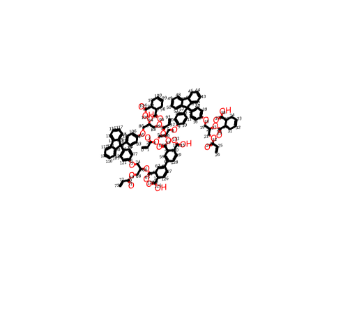 C=CC(=O)OCC(COc1ccc(C2(c3ccc(OCC(COC(=O)C=C)OC(=O)C4CC=CCC4C(=O)O)cc3)c3ccccc3-c3ccccc32)cc1)OC(=O)C1C=C(C2=CC(C(=O)OC(COC(=O)C=C)COc3ccc(C4(c5ccc(OCC(COC(=O)C=C)OC(=O)C6CC=CCC6C(=O)O)cc5)c5ccccc5-c5ccccc54)cc3)C(C(=O)O)C=C2)C=CC1C(=O)O